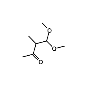 COC(OC)C(C)C(C)=O